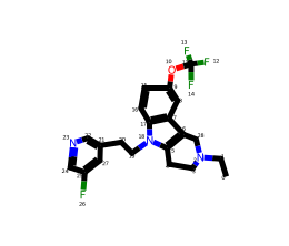 CCN1CCc2c(c3cc(OC(F)(F)F)ccc3n2CCc2cncc(F)c2)C1